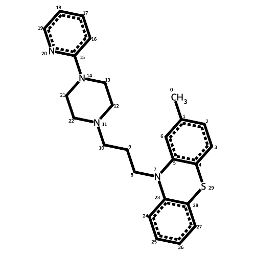 Cc1ccc2c(c1)N(CCCN1CCN(c3ccccn3)CC1)c1ccccc1S2